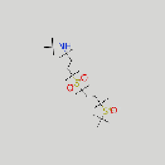 CC(C)(C)NC(C)(C)CCC(C)(C)S(=O)(=O)C(C)(C)CCC(C)(C)[S+]([O-])C(C)(C)C